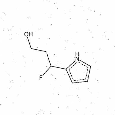 OCCC(F)c1ccc[nH]1